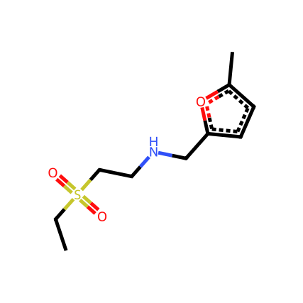 CCS(=O)(=O)CCNCc1ccc(C)o1